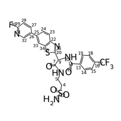 NS(=O)(=O)CCNC(=O)C(NC(=O)c1ccc(C(F)(F)F)cc1)c1nc2ccc(-c3ccc(F)nc3)cc2s1